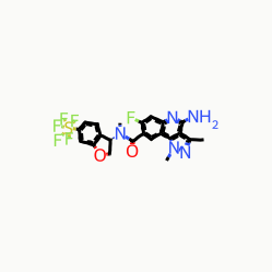 Cc1nn(C)c2c1c(N)nc1cc(F)c(C(=O)N(C)[C@@H]3COc4cc(S(F)(F)(F)(F)F)ccc43)cc12